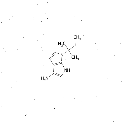 CCC(C)(C)n1ccc2c(N)c[nH]c21